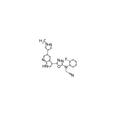 Cn1cc(-c2cnc3[nH]cc(-c4nnc(N(CC#N)c5ccccc5F)o4)c3c2)cn1